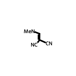 CNC=C(C#N)C#N